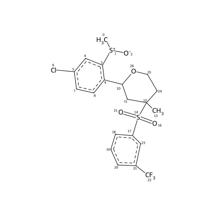 C[S+]([O-])c1cc(Cl)ccc1C1CC(C)(S(=O)(=O)c2cccc(C(F)(F)F)c2)CCO1